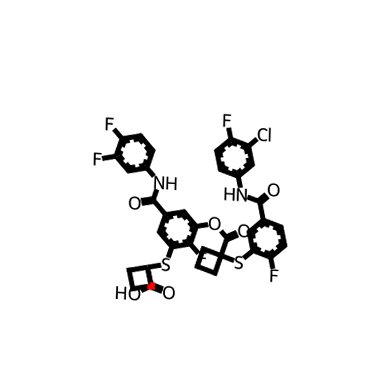 O=C(Nc1ccc(F)c(Cl)c1)c1ccc(F)c(SC2(C(=O)Oc3cc(C(=O)Nc4ccc(F)c(F)c4)cc(SC4(C(=O)O)CCC4)c3F)CCC2)c1